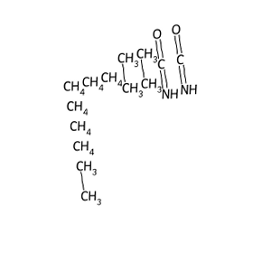 C.C.C.C.C.C.CC.CC.CC.N=C=O.N=C=O